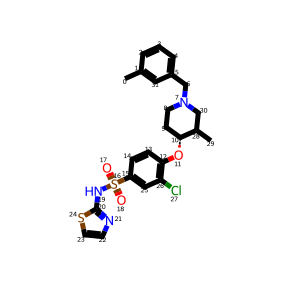 Cc1cccc(CN2CC[C@@H](Oc3ccc(S(=O)(=O)Nc4nccs4)cc3Cl)C(C)C2)c1